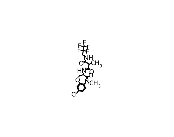 CC(C(=O)NCC(F)(F)C(F)(F)F)C(=O)NC1COc2cc(Cl)ccc2N(C)C1=O